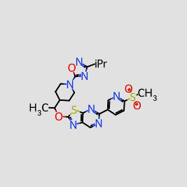 CC(C)c1noc(N2CCC(C(C)Oc3nc4cnc(-c5ccc(S(C)(=O)=O)nc5)nc4s3)CC2)n1